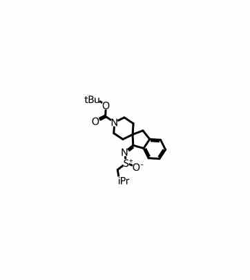 CC(C)C[S+]([O-])/N=C1\c2ccccc2CC12CCN(C(=O)OC(C)(C)C)CC2